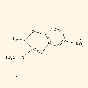 O=C(O)OC1=Cc2cc([N+](=O)[O-])ccc2OC1C(F)(F)F